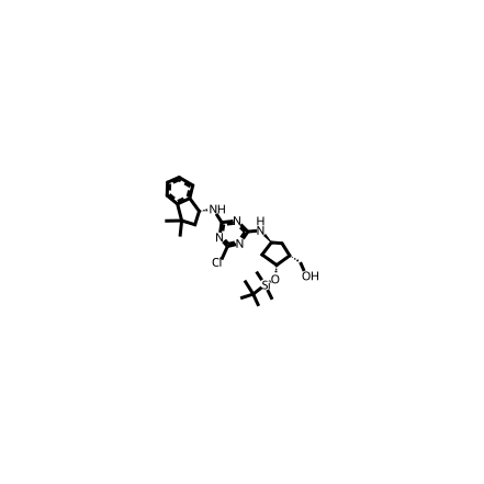 CC1(C)C[C@@H](Nc2nc(Cl)nc(N[C@H]3C[C@H](CO)[C@H](O[Si](C)(C)C(C)(C)C)C3)n2)c2ccccc21